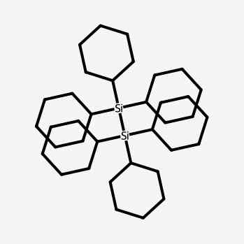 C1CCC([Si](C2CCCCC2)(C2CCCCC2)[Si](C2CCCCC2)(C2CCCCC2)C2CCCCC2)CC1